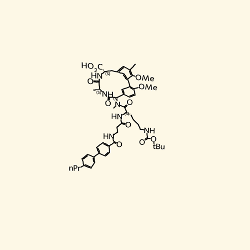 CCCc1ccc(-c2ccc(C(=O)NCCC(=O)N[C@@H](CCCCNC(=O)OC(C)(C)C)C(=O)N(C)[C@@H]3C(=O)N[C@@H](C)C(=O)N[C@H](C(=O)O)Cc4cc(C)c(OC)c(c4)-c4cc3ccc4OC)cc2)cc1